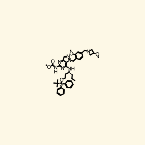 CCC[C@@H](CCO[Si](c1ccccc1)(c1ccccc1)C(C)(C)C)Nc1nc(NC(=O)OC)nc2cnn(Cc3ccc(CN4CC(OC)C4)cc3OC)c12